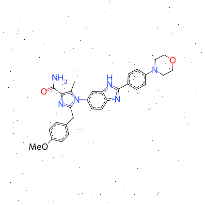 COc1ccc(Cc2nc(C(N)=O)c(C)n2-c2ccc3nc(-c4ccc(N5CCOCC5)cc4)[nH]c3c2)cc1